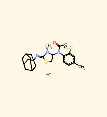 CC(=O)N(c1ccc(C)cc1Cl)C1CSC(=NC23CC4CC(CC(C4)C2)C3)N1C.Cl